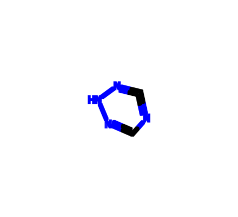 C1=NC=NNN=1